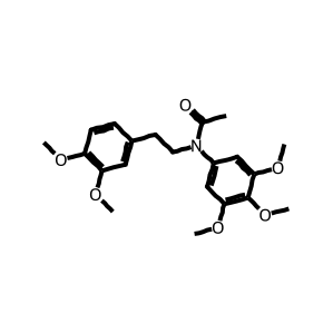 COc1ccc(CCN(C(C)=O)c2cc(OC)c(OC)c(OC)c2)cc1OC